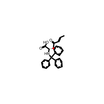 C/C=C/C(=O)C[C@H](NC(c1ccccc1)(c1ccccc1)c1ccccc1)C(=O)O